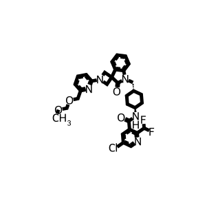 COCOCc1cccc(N2CC3(C2)C(=O)N(C[C@H]2CC[C@H](NC(=O)c4cc(Cl)cnc4C(F)F)CC2)c2ccccc23)n1